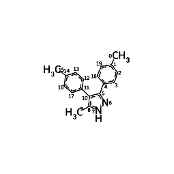 Cc1ccc(-c2n[nH]c(C)c2-c2ccc(C)cc2)cc1